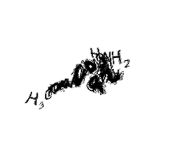 CN1CCC2(CC1)CN(C1CCN(c3ccc(Nc4nc(NC5CCOCC56CC6)c(-c5ccccn5)nc4C(N)=O)cc3)CC1)C2